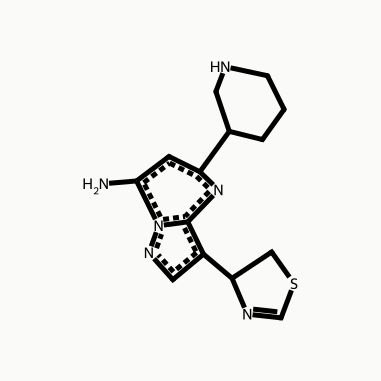 Nc1cc(C2CCCNC2)nc2c(C3CSC=N3)cnn12